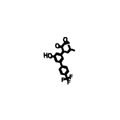 CC(C)CC(C(=O)C1CO1)c1cc(O)cc(-c2ccc(C(F)(F)F)cc2)c1